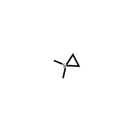 C[Si]1(C)CC1